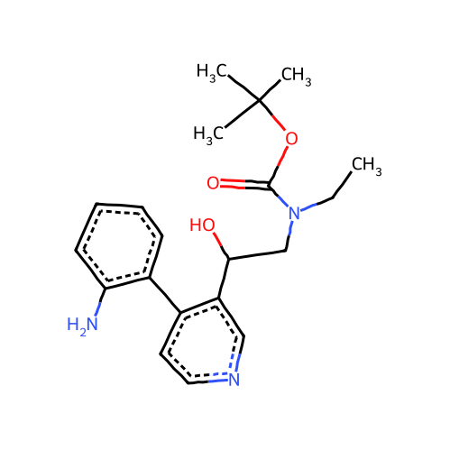 CCN(CC(O)c1cnccc1-c1ccccc1N)C(=O)OC(C)(C)C